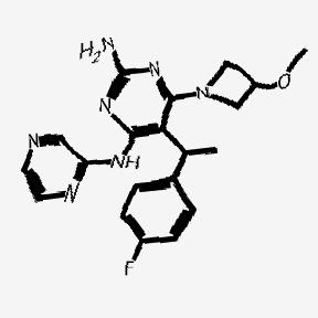 COC1CN(c2nc(N)nc(Nc3cnccn3)c2C(C)c2ccc(F)cc2)C1